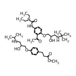 CCN(CC)C(=O)Nc1ccc(OCC(O)CNC(C)(C)C)c(C(C)=O)c1.COC(=O)CCc1ccc(OCC(O)CNC(C)C)cc1